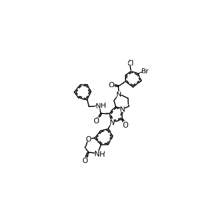 O=C1COc2cc(-n3c(C(=O)NCc4ccccc4)c4n(c3=O)CCN(C(=O)c3ccc(Br)c(Cl)c3)C4)ccc2N1